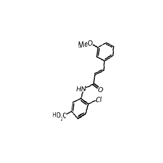 COc1cccc(C=CC(=O)Nc2cc(C(=O)O)ccc2Cl)c1